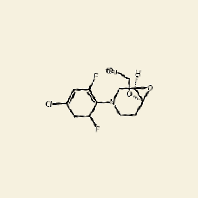 CC(C)(C)CO[C@]12CCN(C3=C(F)C=C(Cl)CC3F)C[C@H]1O2